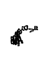 CCOC(=O)CCc1ccc(N2C[C@@H]3C[C@H]2C[C@H]3OCc2c(C3CC3)cnn2-c2c(C)cccc2C)c(F)c1